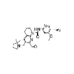 COc1cc(NC(=O)N2CCCc3cc(CN4CCCC4(C)C)c(C=O)nc32)ncc1C#N